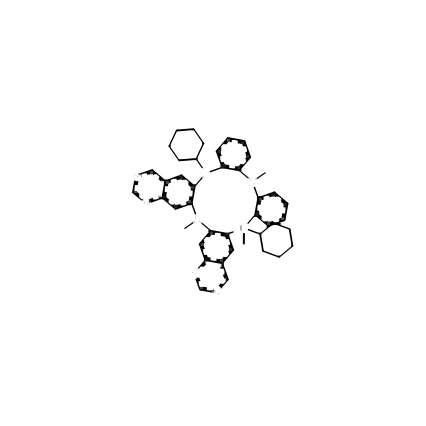 CN1c2ccccc2P(C2CCCCC2)c2cc3cncnc3cc2N(C)c2cc3ncncc3cc2[PH](C)(C2CCCCC2)c2ccccc21